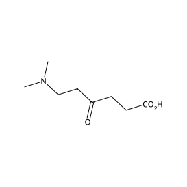 CN(C)CCC(=O)CCC(=O)O